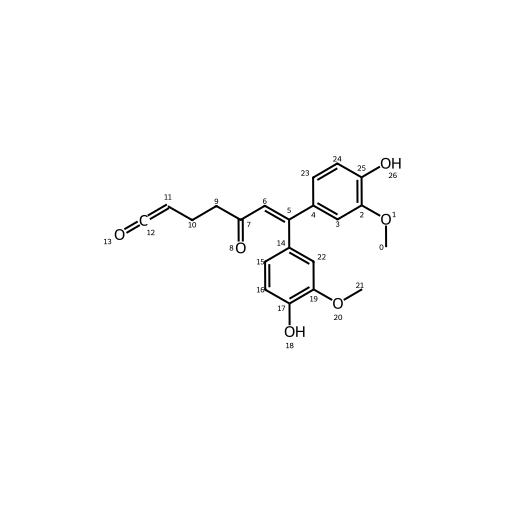 COc1cc(C(=CC(=O)CCC=C=O)c2ccc(O)c(OC)c2)ccc1O